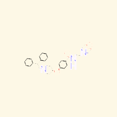 O=C(NCCN1CCOCC1)c1ccc(OC2CCN(CC(c3ccccc3)c3ccccc3)CC2)cc1